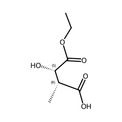 CCOC(=O)[C@@H](O)[C@@H](C)C(=O)O